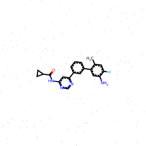 Cc1cc(F)c(N)cc1-c1cccc(-c2cc(NC(=O)C3CC3)ncn2)c1